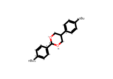 CCCCc1ccc(C2COC(c3ccc(CCCC)cc3)OC2)cc1